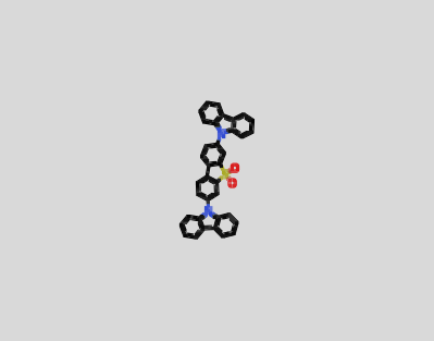 O=S1(=O)c2cc(-n3c4ccccc4c4ccccc43)ccc2-c2ccc(-n3c4ccccc4c4ccccc43)cc21